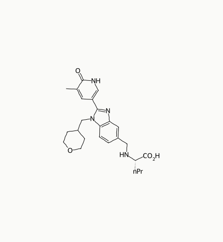 CCC[C@H](NCc1ccc2c(c1)nc(-c1c[nH]c(=O)c(C)c1)n2CC1CCOCC1)C(=O)O